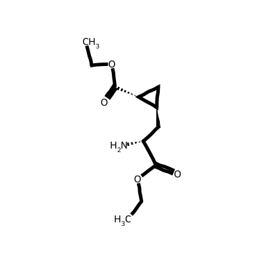 CCOC(=O)[C@H](N)C[C@@H]1C[C@H]1C(=O)OCC